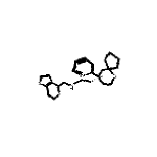 c1ccc([C@]2(CCNCC3=NCCc4sccc43)CCOC3(CCCC3)C2)nc1